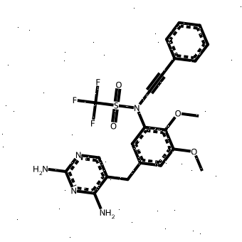 COc1cc(Cc2cnc(N)nc2N)cc(N(C#Cc2ccccc2)S(=O)(=O)C(F)(F)F)c1OC